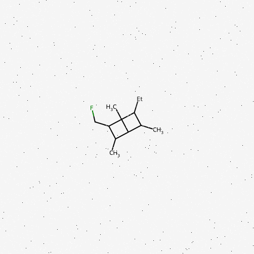 CCC1C(C)C2C(C)C(CF)C12C